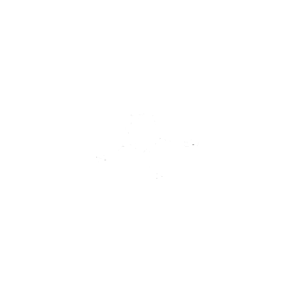 CC(C)c1c(C(C)(C)C)coc1C(C)(C)C